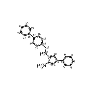 Nc1nc(-c2ccccc2)cn1NCc1ccc(-c2ccccc2)cc1